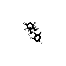 O=C1C[C@H]2CC[C@@H]1[C@H]1C(=O)N(c3c(F)cc(Br)cc3F)C(=O)[C@@H]21